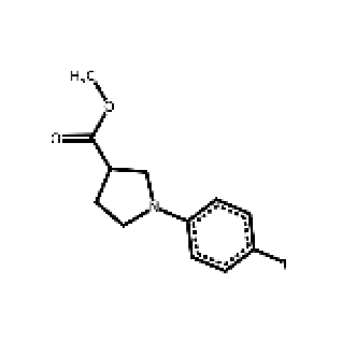 COC(=O)C1CCN(c2ccc(F)cc2)C1